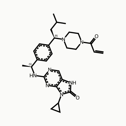 C=CC(=O)N1CCN([C@H](CC(C)C)c2ccc([C@H](C)Nc3ncc4[nH]c(=O)n(C5CC5)c4n3)cc2)CC1